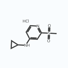 CS(=O)(=O)c1cc(NC2CC2)ccn1.Cl